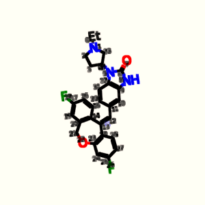 CCN1CC[C@H](n2c(=O)[nH]c3cc(/C=C4\c5ccc(F)cc5COc5cc(F)ccc54)ccc32)C1